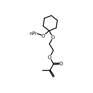 C=C(C)C(=O)OCCOC1(OCCC)CCCCC1